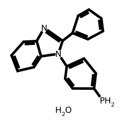 O.Pc1ccc(-n2c(-c3ccccc3)nc3ccccc32)cc1